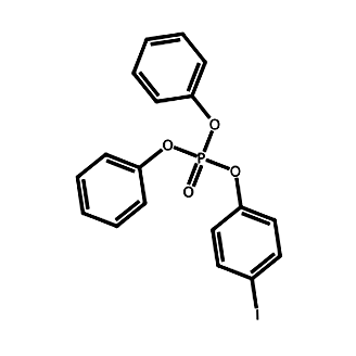 O=P(Oc1ccccc1)(Oc1ccccc1)Oc1ccc(I)cc1